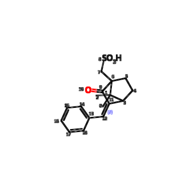 CC1(C)C2CCC1(CS(=O)(=O)O)C(=O)/C2=C\c1ccccc1